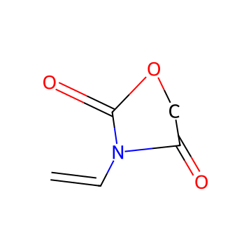 C=CN1C(=O)COC1=O